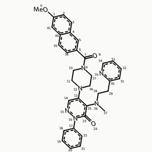 COc1ccc2cc(C(=O)N3CCN(c4cnn(-c5ccccc5)c(=O)c4N(C)CCc4ccccn4)CC3)ccc2c1